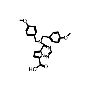 COc1ccc(CN(Cc2ccc(OC)cc2)c2ncnn3c(C(=O)O)ccc23)cc1